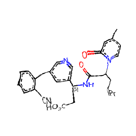 Cc1ccn(C(CC(C)C)C(=O)N[C@@H](CC(=O)O)c2cncc(-c3ccccc3C#N)c2)c(=O)c1